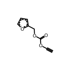 C#COC(=O)OCc1ccco1